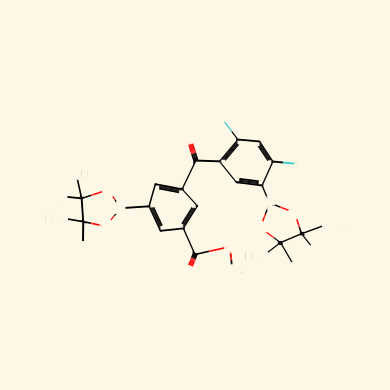 CC(C)(C)OC(=O)c1cc(B2OC(C)(C)C(C)(C)O2)cc(C(=O)c2cc(B3OC(C)(C)C(C)(C)O3)c(F)cc2F)c1